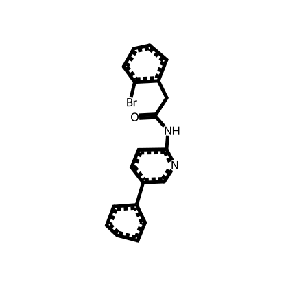 O=C(Cc1ccccc1Br)Nc1ccc(-c2ccccc2)cn1